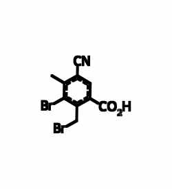 Cc1c(C#N)cc(C(=O)O)c(CBr)c1Br